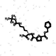 CC(C)(C)OC(=O)NCCCC[C@H](NC(=O)c1ccc(C(=O)OCc2ccccc2)o1)C(N)=O